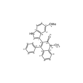 COc1ccc2[nH]cc(-c3c(-c4ccccc4)c4ccccc4n(C)c3=O)c2c1